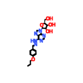 CCCOc1ccc(/C=N/Nc2ncnc3c2ncn3[C@@H]2O[C@H](CO)C(O)C2O)cc1